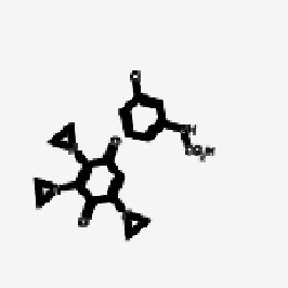 O=C(O)Nc1cccc(Cl)c1.O=C1C=C(N2CC2)C(=O)C(N2CC2)=C1N1CC1